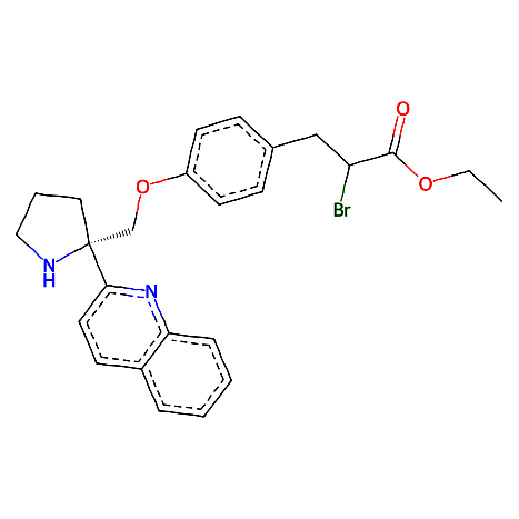 CCOC(=O)C(Br)Cc1ccc(OC[C@@]2(c3ccc4ccccc4n3)CCCN2)cc1